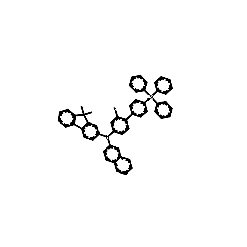 CC1(C)c2ccccc2-c2ccc(N(c3ccc(-c4ccc([Si](c5ccccc5)(c5ccccc5)c5ccccc5)cc4)c(F)c3)c3ccc4ccccc4c3)cc21